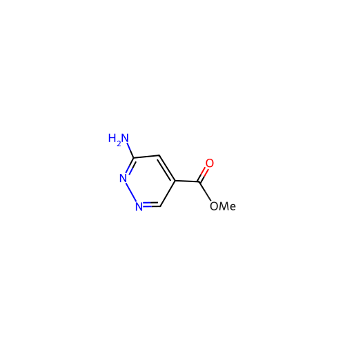 COC(=O)c1cnnc(N)c1